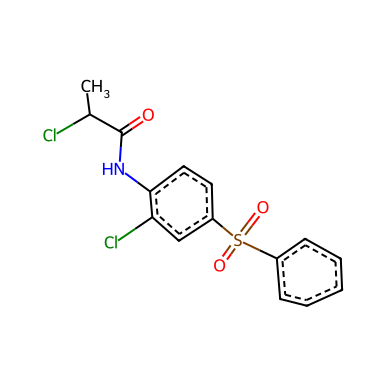 CC(Cl)C(=O)Nc1ccc(S(=O)(=O)c2ccccc2)cc1Cl